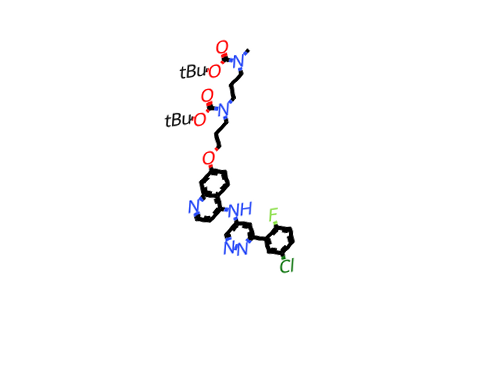 CN(CCCN(CCCOc1ccc2c(Nc3cnnc(-c4cc(Cl)ccc4F)c3)ccnc2c1)C(=O)OC(C)(C)C)C(=O)OC(C)(C)C